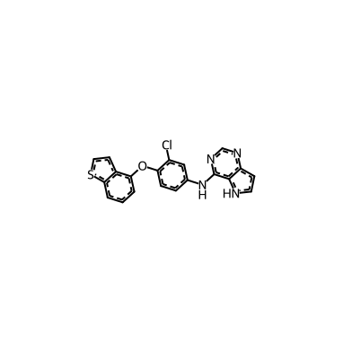 Clc1cc(Nc2ncnc3cc[nH]c23)ccc1Oc1cccc2sccc12